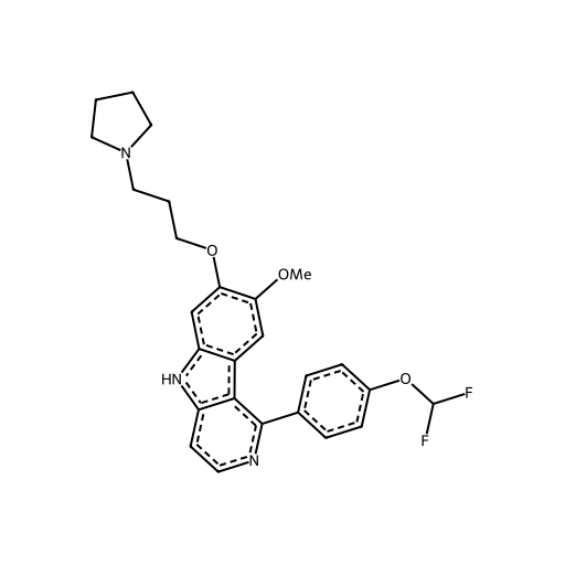 COc1cc2c(cc1OCCCN1CCCC1)[nH]c1ccnc(-c3ccc(OC(F)F)cc3)c12